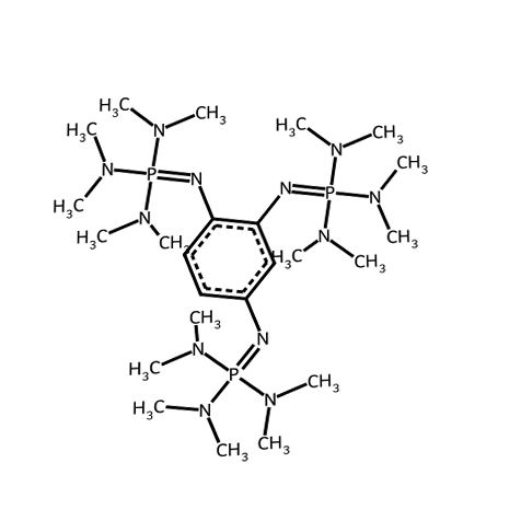 CN(C)P(=Nc1ccc(N=P(N(C)C)(N(C)C)N(C)C)c(N=P(N(C)C)(N(C)C)N(C)C)c1)(N(C)C)N(C)C